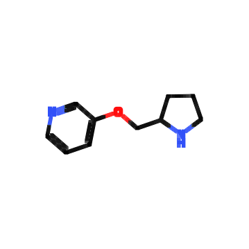 c1cncc(OCC2CCCN2)c1